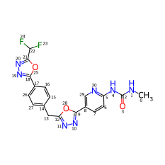 CNC(=O)Nc1ccc(-c2nnc(Cc3ccc(-c4nnc(C(F)F)o4)cc3)o2)cn1